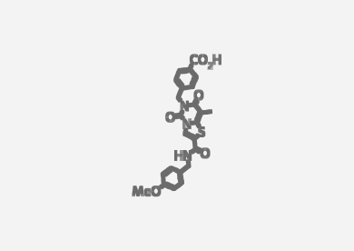 COc1ccc(CNC(=O)c2cn3c(=O)n(Cc4ccc(C(=O)O)cc4)c(=O)c(C)c3s2)cc1